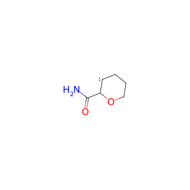 NC(=O)C1[C]CCCO1